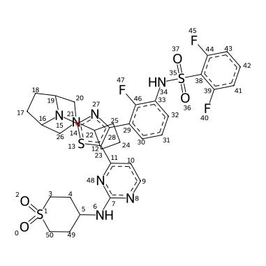 O=S1(=O)CCC(Nc2nccc(-c3sc(N4C5CCC4CN(C4CCC4)C5)nc3-c3cccc(NS(=O)(=O)c4c(F)cccc4F)c3F)n2)CC1